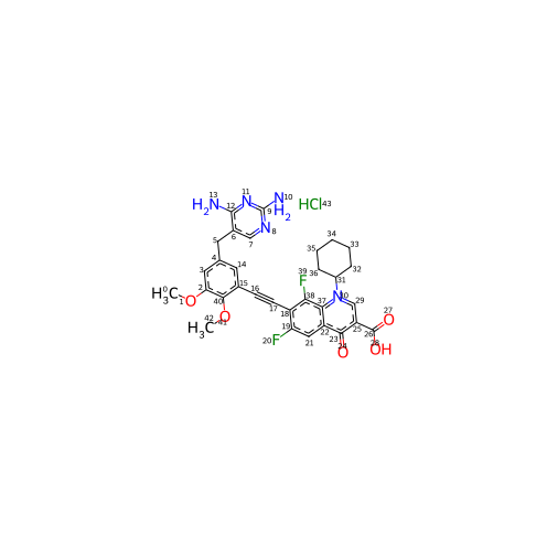 COc1cc(Cc2cnc(N)nc2N)cc(C#Cc2c(F)cc3c(=O)c(C(=O)O)cn(C4CCCCC4)c3c2F)c1OC.Cl